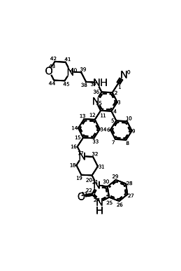 N#Cc1cc(-c2ccccc2)c(-c2ccc(CN3CCC(n4c(=O)[nH]c5ccccc54)CC3)cc2)nc1NCCN1CCOCC1